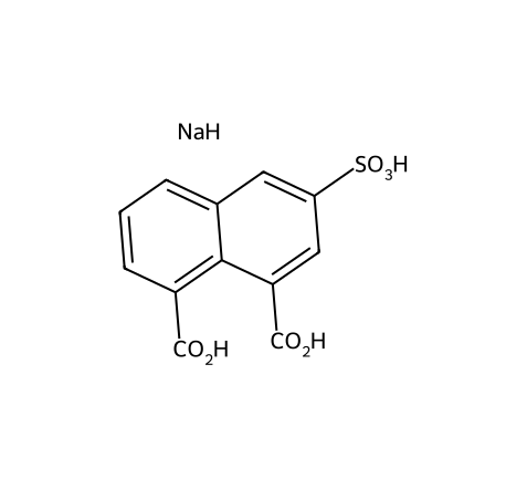 O=C(O)c1cccc2cc(S(=O)(=O)O)cc(C(=O)O)c12.[NaH]